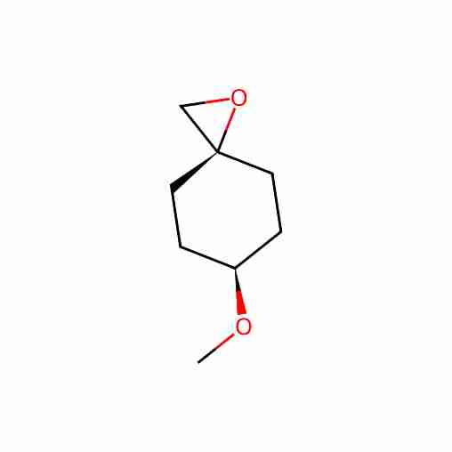 CO[C@H]1CC[C@@]2(CC1)CO2